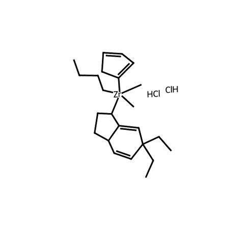 CCC[CH2][Zr]([CH3])([CH3])([C]1=CC=CC1)[CH]1CCC2C=CC(CC)(CC)C=C21.Cl.Cl